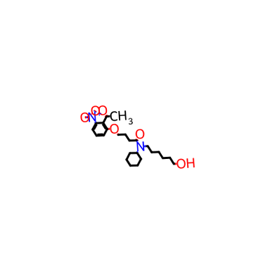 CC(=O)c1c(OCCCC(=O)N(CCCCCCO)C2CCCCC2)cccc1[N+](=O)[O-]